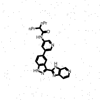 CCCC(CCC)C(=O)Nc1cncc(-c2ccc3[nH]nc(-c4nc5ccncc5[nH]4)c3c2)c1